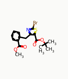 COC(=O)c1ccccc1Cc1nc(Br)sc1C(=O)OC(C)(C)C